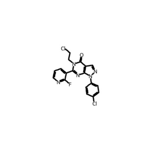 O=c1c2cnn(-c3ccc(Cl)cc3)c2nc(-c2cccnc2F)n1CCCl